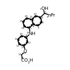 CCCC(O)c1ccc2c(Nc3cccc(OCC(=O)O)c3)cccc2c1